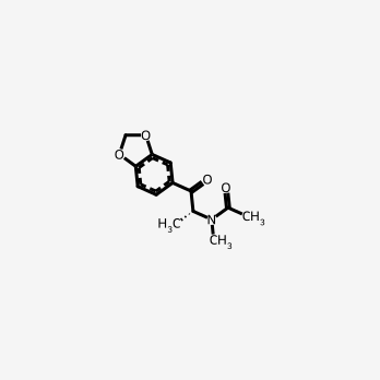 CC(=O)N(C)[C@H](C)C(=O)c1ccc2c(c1)OCO2